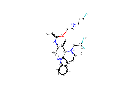 C=C(/C(=N\C(=C/C)OCCNCCCF)OC)[C@@H]1c2[nH]c3ccccc3c2C[C@@H](C)N1CC(F)F